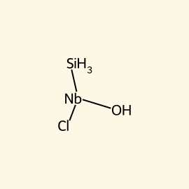 [OH][Nb]([SiH3])[Cl]